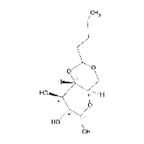 CCCCC1OC[C@H]2O[C@H](O)[C@H](O)[C@@H](O)[C@@H]2O1